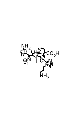 CCON=C(C(=O)NC1C(=O)[N+]2(CSc3nnnn3CCCN)C(C(=O)O)=CCS[C@@H]12)c1nsc(N)n1